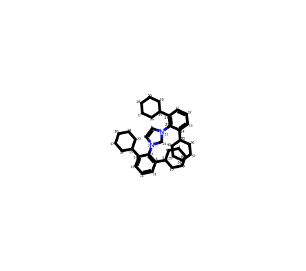 C1=CN(c2c(C3CCCCC3)cccc2C2CCCCC2)CN1c1c(C2CCCCC2)cccc1C1CCCCC1